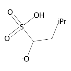 CC(C)CC([O])S(=O)(=O)O